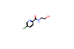 O=C(NCCO)c1ccc(Cl)cn1